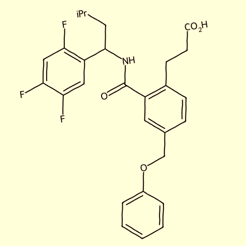 CC(C)CC(NC(=O)c1cc(COc2ccccc2)ccc1CCC(=O)O)c1cc(F)c(F)cc1F